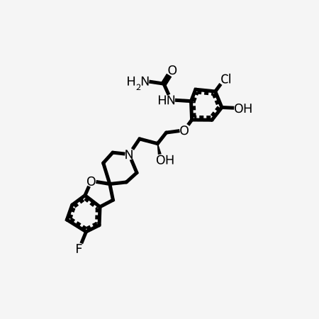 NC(=O)Nc1cc(Cl)c(O)cc1OC[C@@H](O)CN1CCC2(CC1)Cc1cc(F)ccc1O2